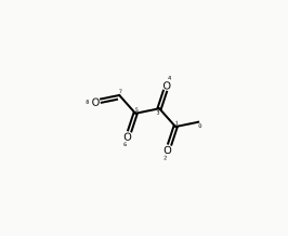 CC(=O)C(=O)C(=O)C=O